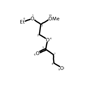 CCOC(COC(=O)CC[O])OC